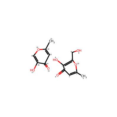 Cc1cc(=O)c(O)c(CO)o1.Cc1cc(=O)c(O)co1